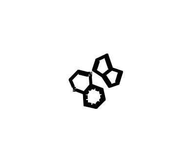 C1=CC2=CC=CC2=C1.C1=Nc2ccccc2SC1